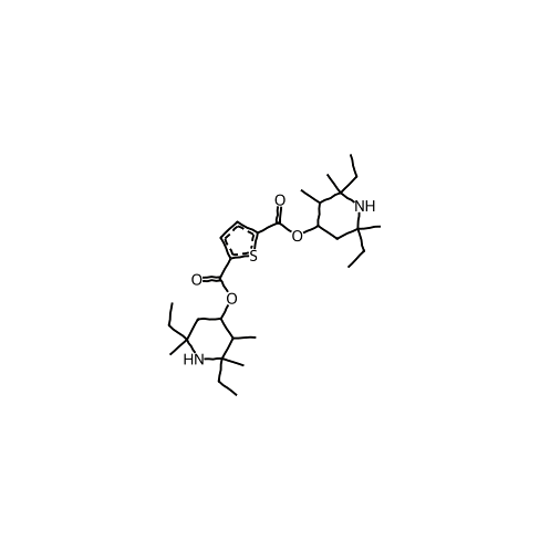 CCC1(C)CC(OC(=O)c2ccc(C(=O)OC3CC(C)(CC)NC(C)(CC)C3C)s2)C(C)C(C)(CC)N1